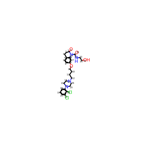 O=C1CCc2ccc(OCCCCN3CCN(c4cccc(Cl)c4Cl)CC3)cc2N1C(=O)NCCO